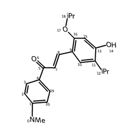 CNc1ccc(C(=O)C=Cc2cc(C(C)C)c(O)cc2OC(C)C)cc1